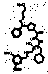 COCCCOC(c1ccccc1)C1CCN(C(=O)C(=O)N[C@@H](CC2CCCCC2)[C@@H](O)CNCc2cc(OC)cc(OC)c2)C1